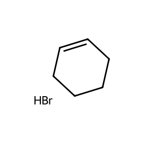 Br.C1=CCCCC1